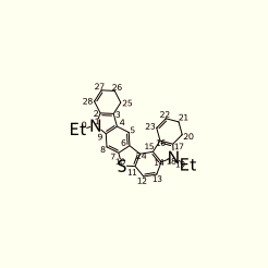 CCn1c2c(c3cc4c(cc31)sc1ccc3c(c5c(n3CC)CCC=C5)c14)CCC=C2